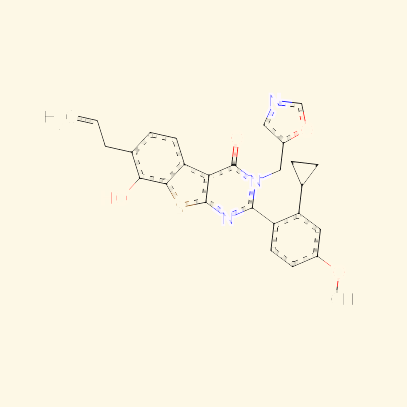 C=CCc1ccc2c(sc3nc(-c4ccc(OC)cc4C4CC4)n(Cc4cnco4)c(=O)c32)c1O